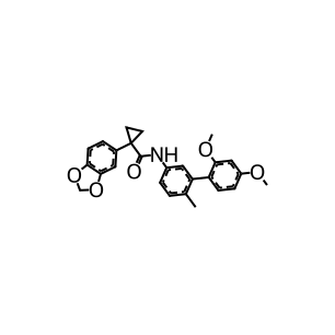 COc1ccc(-c2cc(NC(=O)C3(c4ccc5c(c4)OCO5)CC3)ccc2C)c(OC)c1